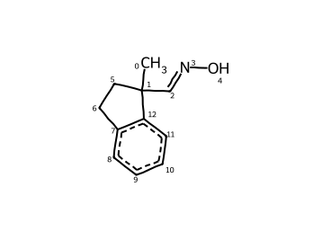 CC1(C=NO)CCc2ccccc21